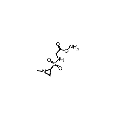 CN1CC1S(=O)(=O)NCC(=O)ON